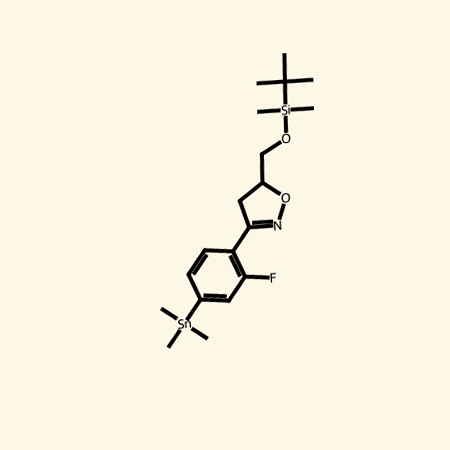 CC(C)(C)[Si](C)(C)OCC1CC(c2cc[c]([Sn]([CH3])([CH3])[CH3])cc2F)=NO1